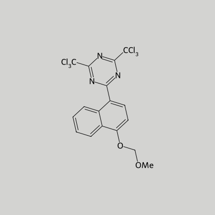 COCOc1ccc(-c2nc(C(Cl)(Cl)Cl)nc(C(Cl)(Cl)Cl)n2)c2ccccc12